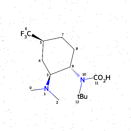 CN(C)[C@H]1C[C@@H](C(F)(F)F)CC[C@@H]1N(C(=O)O)C(C)(C)C